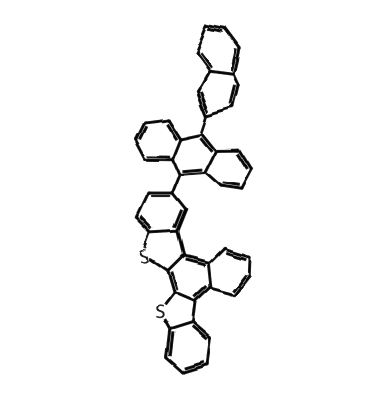 c1ccc2cc(-c3c4ccccc4c(-c4ccc5sc6c7sc8ccccc8c7c7ccccc7c6c5c4)c4ccccc34)ccc2c1